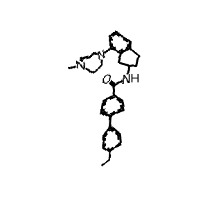 CCc1ccc(-c2ccc(C(=O)NC3CCc4cccc(N5CCN(C)CC5)c4C3)cc2)cc1